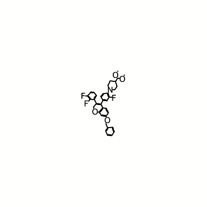 COC(OC)C1CCN(c2ccc(C3=C(c4cccc(F)c4F)COc4cc(OCc5ccccc5)ccc43)cc2F)CC1